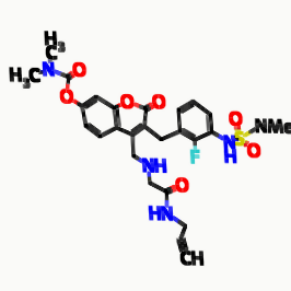 C#CCNC(=O)CNCc1c(Cc2cccc(NS(=O)(=O)NC)c2F)c(=O)oc2cc(OC(=O)N(C)C)ccc12